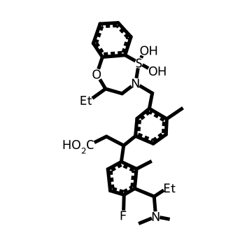 CCC1CN(Cc2cc(C(CC(=O)O)c3ccc(F)c(C(CC)N(C)C)c3C)ccc2C)S(O)(O)c2ccccc2O1